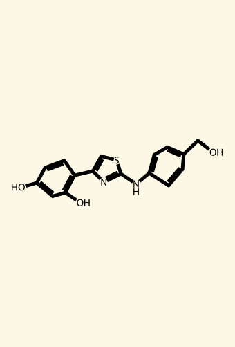 OCc1ccc(Nc2nc(-c3ccc(O)cc3O)cs2)cc1